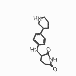 O=C1CCC(Nc2ccc(C3CCCNC3)cc2)C(=O)N1